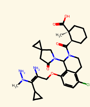 CN(N)/C(=C(\N)COc1ccc(Cl)c2c1C(N1CC3(CC3)CC1=O)N(C(=O)[C@@H]1CCCC[C@]1(C)C(=O)O)CC2)C1CC1